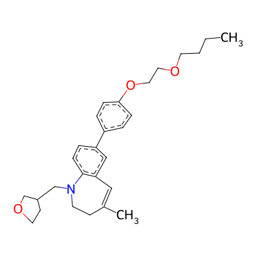 CCCCOCCOc1ccc(-c2ccc3c(c2)C=C(C)CCN3CC2CCOC2)cc1